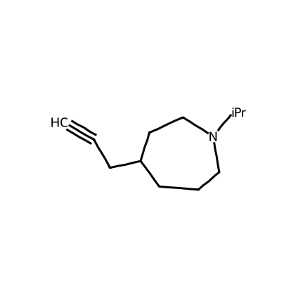 C#CCC1CCCN(C(C)C)CC1